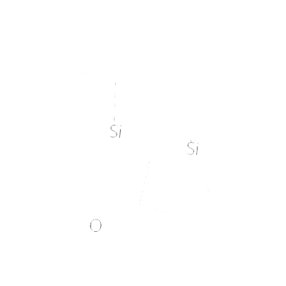 O=C1CC[Si]C1=[Si]1CCCC1